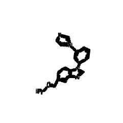 CC(C)OCc1ccc2c(c1)ncn2-c1cccc(-n2ccnc2)c1